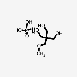 COCC(CO)(CO)CO.O=P(O)(O)O